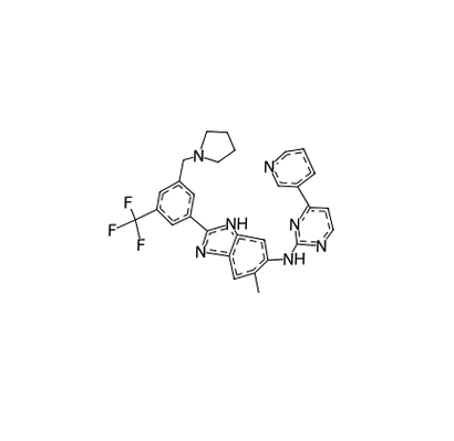 Cc1cc2nc(-c3cc(CN4CCCC4)cc(C(F)(F)F)c3)[nH]c2cc1Nc1nccc(-c2cccnc2)n1